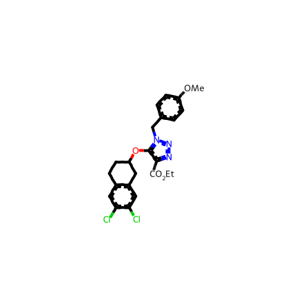 CCOC(=O)c1nnn(Cc2ccc(OC)cc2)c1OC1CCc2cc(Cl)c(Cl)cc2C1